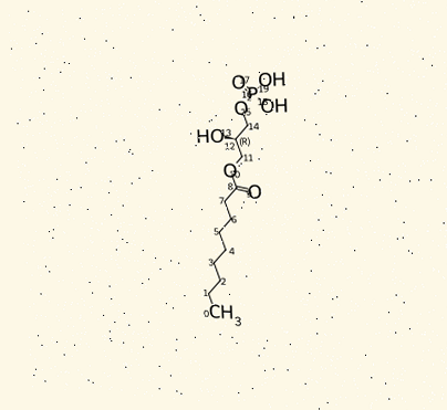 CCCCCCCCC(=O)OC[C@@H](O)COP(=O)(O)O